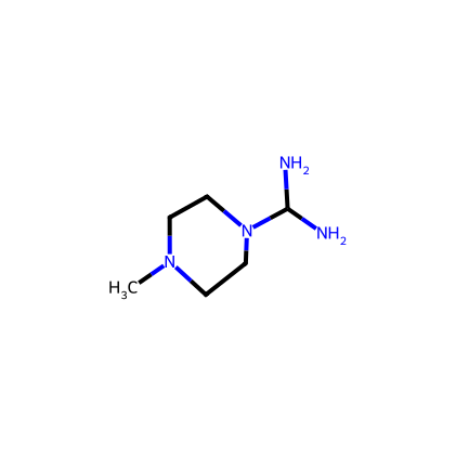 CN1CCN(C(N)N)CC1